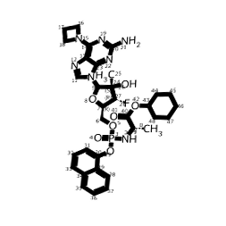 C[C@H](NP(=O)(OC[C@H]1OC(n2cnc3c(N4CCC4)nc(N)nc32)[C@](C)(O)[C@@H]1F)Oc1cccc2ccccc12)C(=O)OC1CCCCC1